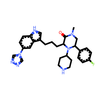 CN1CC(c2ccc(F)cc2)N(C2CCNCC2)C(CCCc2c[nH]c3ccc(-n4cnnc4)cc23)C1=O